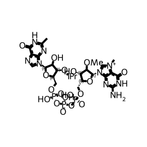 COC1[C@@H](O)[C@@H](COP(=O)(O)OP(=O)(O)OP(=O)(O)OC[C@H]2O[C@@H](n3cnc4c(=O)[nH]c(C)nc43)C(O)[C@H]2OC(C)C)O[C@H]1n1c[n+](C)c2c(=O)[nH]c(N)nc21